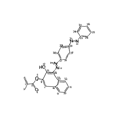 C=C(C)C(=O)Oc1cc2ccccc2c(N=Nc2ccc(N=Nc3ccccc3)cc2)c1O